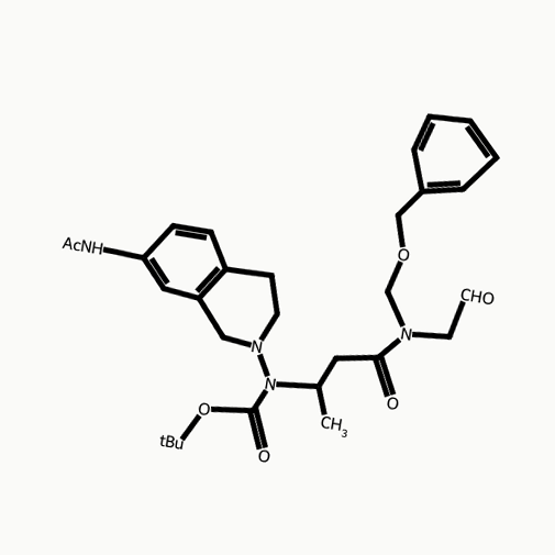 CC(=O)Nc1ccc2c(c1)CN(N(C(=O)OC(C)(C)C)C(C)CC(=O)N(CC=O)COCc1ccccc1)CC2